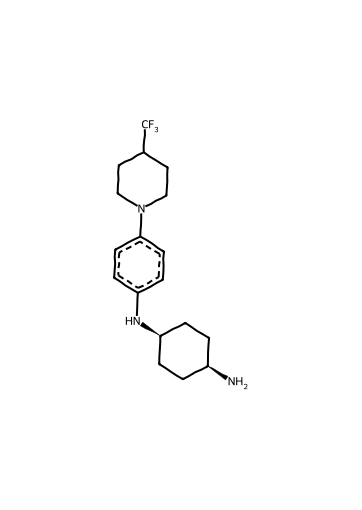 N[C@H]1CC[C@@H](Nc2ccc(N3CCC(C(F)(F)F)CC3)cc2)CC1